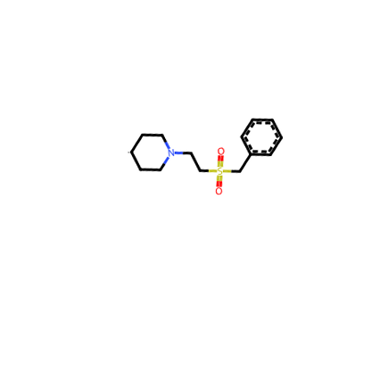 O=S(=O)(CCN1CC[CH]CC1)Cc1ccccc1